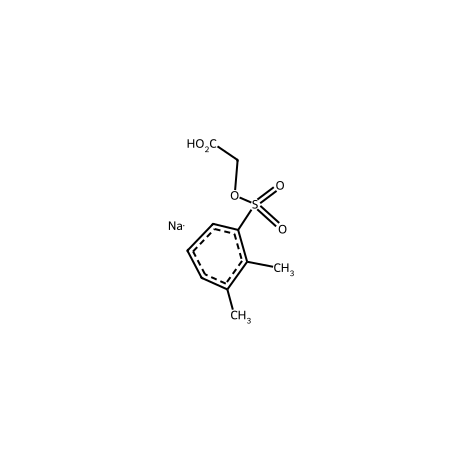 Cc1cccc(S(=O)(=O)OCC(=O)O)c1C.[Na]